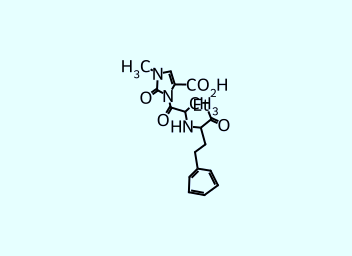 CCC(=O)C(CCc1ccccc1)NC(C)C(=O)n1c(C(=O)O)cn(C)c1=O